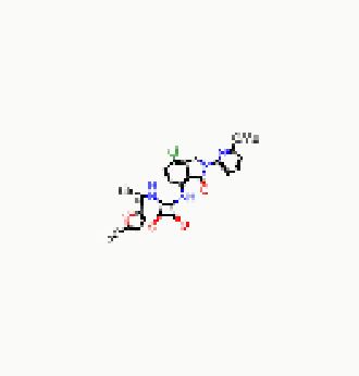 COc1cccc(N2Cc3c(Cl)ccc(Nc4c(N[C@@H](c5ccc(C)o5)C(C)(C)C)c(=O)c4=O)c3C2=O)n1